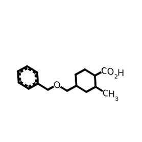 CC1CC(COCc2ccccc2)CCC1C(=O)O